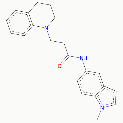 Cn1ccc2cc(NC(=O)CCN3CCCc4ccccc43)ccc21